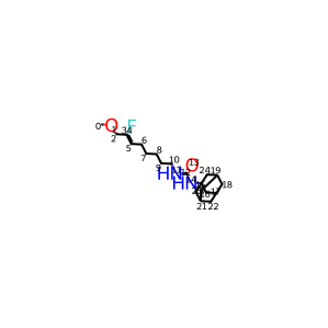 COC/C(F)=C/CCCCCNC(=O)NC12CC3CC(CC(C3)C1)C2